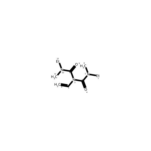 C=CN(C(=O)N(C)CC)C(=O)N(C)CC